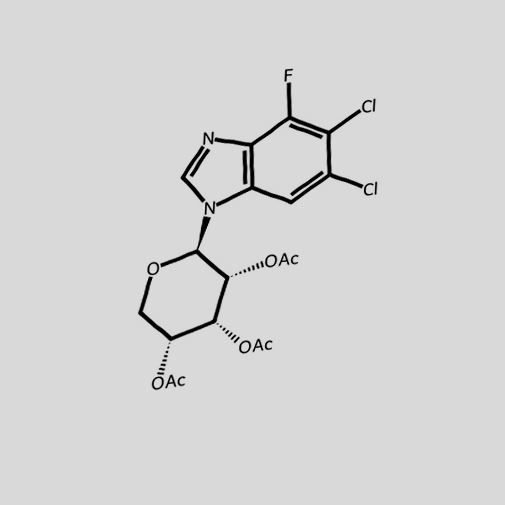 CC(=O)O[C@@H]1[C@H](OC(C)=O)[C@H](OC(C)=O)CO[C@H]1n1cnc2c(F)c(Cl)c(Cl)cc21